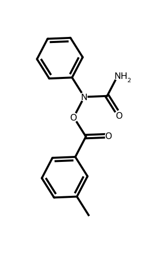 Cc1cccc(C(=O)ON(C(N)=O)c2ccccc2)c1